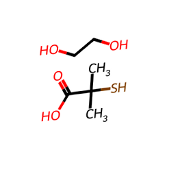 CC(C)(S)C(=O)O.OCCO